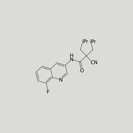 CC(C)CC(C#N)(CC(C)C)C(=O)Nc1cnc2c(F)cccc2c1